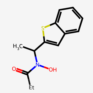 CCC(=O)N(O)C(C)c1cc2ccccc2s1